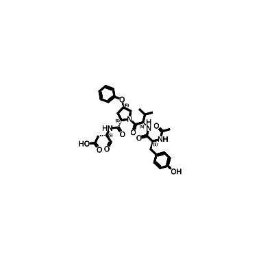 CC(=O)N[C@@H](Cc1ccc(O)cc1)C(=O)N[C@H](C(=O)N1C[C@H](Oc2ccccc2)C[C@H]1C(=O)N[C@H](C=O)CC(=O)O)C(C)C